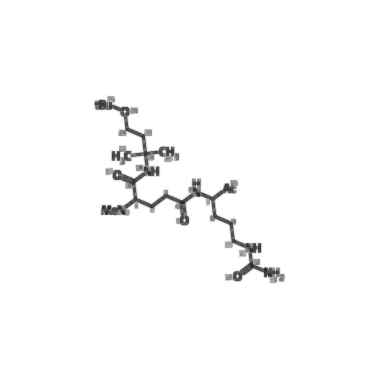 CNC(CCC(=O)NC(CCCNC(N)=O)C(C)=O)C(=O)NC(C)(C)CCOC(C)(C)C